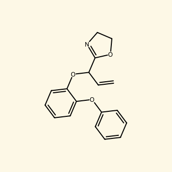 C=CC(Oc1ccccc1Oc1ccccc1)C1=NCCO1